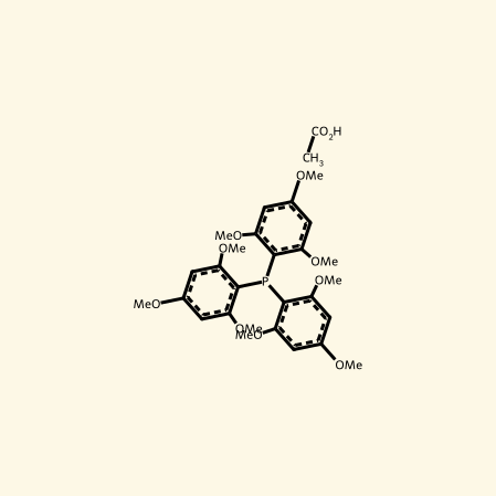 CC(=O)O.COc1cc(OC)c(P(c2c(OC)cc(OC)cc2OC)c2c(OC)cc(OC)cc2OC)c(OC)c1